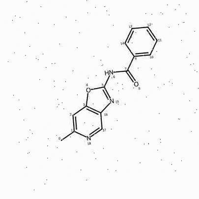 Cc1cc2oc(NC(=O)c3ccccc3)nc2cn1